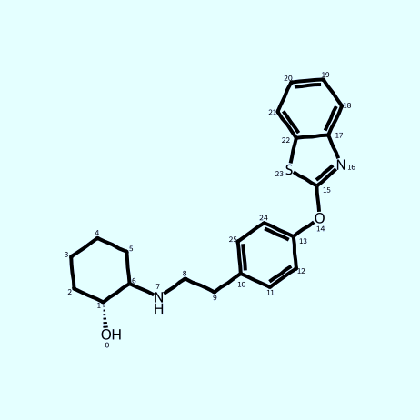 O[C@@H]1CCCCC1NCCc1ccc(Oc2nc3ccccc3s2)cc1